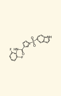 O=C(Nc1c(F)cccc1F)c1ccn(S(=O)(=O)c2ccc3[nH]ccc3c2)c1